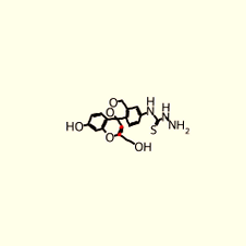 NNC(=S)Nc1ccc2c(c1)COOC21c2ccc(O)cc2Oc2cc(O)ccc21